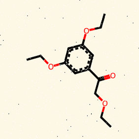 CCOCC(=O)c1cc(OCC)cc(OCC)c1